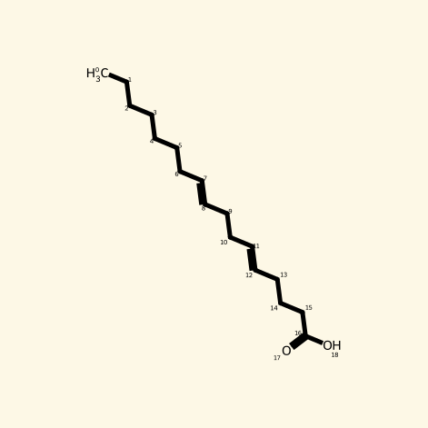 CCCCCCCC=CCCC=CCCCC(=O)O